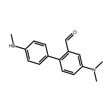 CBc1ccc(-c2ccc(N(C)C)cc2C=O)cc1